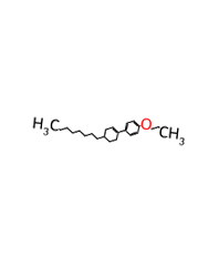 CCCCCCCCC1CC=C(c2ccc(OCCC)cc2)CC1